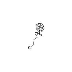 CCCCCl.[CH]12[CH]3[CH]4[CH]5[CH]1[Fe]23451678[CH]2[CH]1[CH]6[CH]7[CH]28